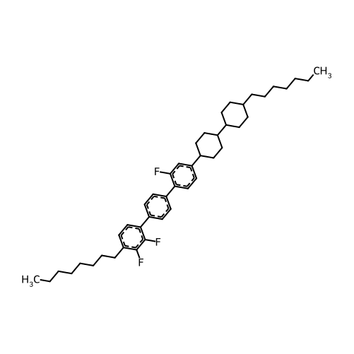 CCCCCCCCc1ccc(-c2ccc(-c3ccc(C4CCC(C5CCC(CCCCCCC)CC5)CC4)cc3F)cc2)c(F)c1F